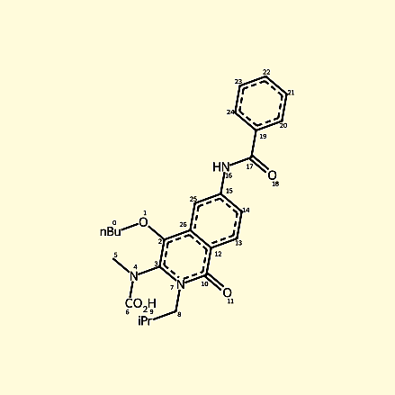 CCCCOc1c(N(C)C(=O)O)n(CC(C)C)c(=O)c2ccc(NC(=O)c3ccccc3)cc12